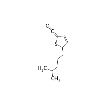 CC(C)CCCC1C=CC(=C=O)S1